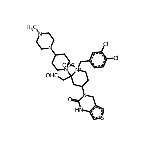 CN1CCN(C2CCN(C3(CC=O)CC(N4Cc5cscc5NC4=O)CC[N@+]3(Cc3ccc(Cl)c(Cl)c3)C(=O)[O-])CC2)CC1